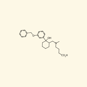 CN(CCCC(=O)O)CC1CCCCC1(O)c1cccc(OCc2ccccc2)c1